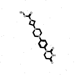 CC(C)(C)OC(=O)N1CC(N2CCN(c3ccc(N4CCC(=O)NC4=O)cc3)CC2)C1